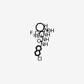 O=C(Nc1ccc2ccc(Cl)cc2c1)NC1NC(NO)C2(CCCCCCCC2)C(C(F)(F)F)N1